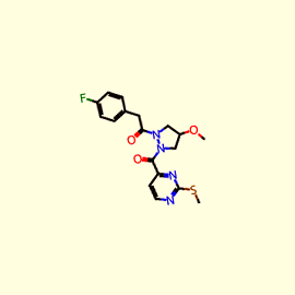 COC1CN(C(=O)Cc2ccc(F)cc2)N(C(=O)c2ccnc(SC)n2)C1